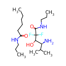 CCCCCC(=O)NCCC.CCCNC(=O)C(F)(F)C(O)[C@@H](N)C(C)C